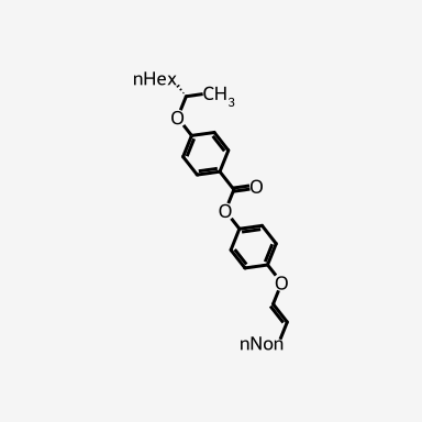 CCCCCCCCC/C=C/Oc1ccc(OC(=O)c2ccc(O[C@@H](C)CCCCCC)cc2)cc1